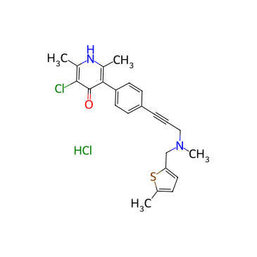 Cc1ccc(CN(C)CC#Cc2ccc(-c3c(C)[nH]c(C)c(Cl)c3=O)cc2)s1.Cl